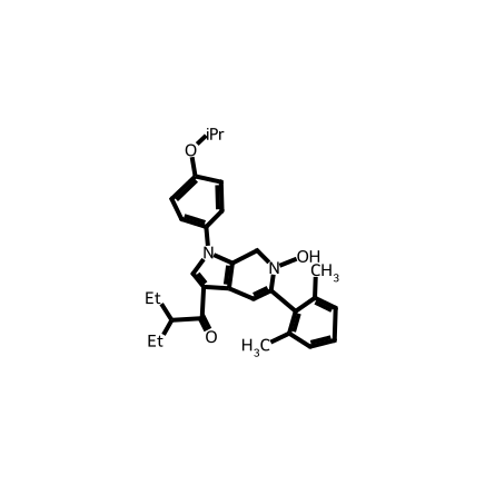 CCC(CC)C(=O)c1cn(-c2ccc(OC(C)C)cc2)c2c1C=C(c1c(C)cccc1C)N(O)C2